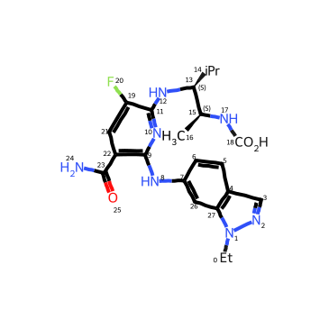 CCn1ncc2ccc(Nc3nc(N[C@@H](C(C)C)[C@H](C)NC(=O)O)c(F)cc3C(N)=O)cc21